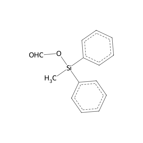 C[Si](OC=O)(c1ccccc1)c1ccccc1